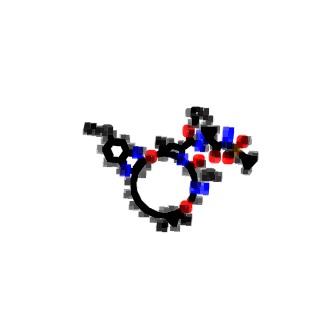 C=C[C@@H]1CC1(NC(=O)[C@@H]1C[C@@H]2CN1C(=O)[C@H](C(C)(C)C)NCO[C@@H]1C[C@H]1CCCCCc1nc3ccc(OC)cc3nc1O2)C(=O)NS(=O)(=O)C1CC1